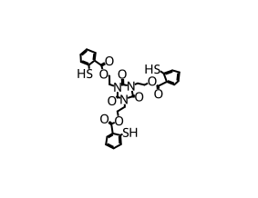 O=C(OCCn1c(=O)n(CCOC(=O)c2ccccc2S)c(=O)n(CCOC(=O)c2ccccc2S)c1=O)c1ccccc1S